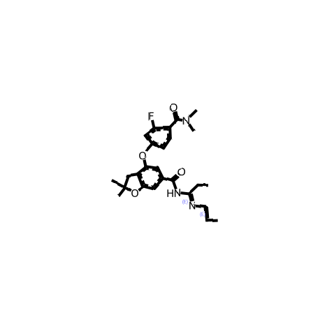 C/C=C/N=C(\CC)NC(=O)c1cc(Oc2ccc(C(=O)N(C)C)c(F)c2)c2c(c1)OC(C)(C)C2